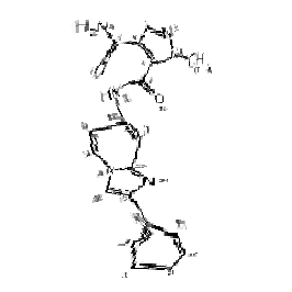 Cn1ncc(C(N)=O)c1C(=O)Nc1ccn2cc(-c3ccccc3)nc2c1